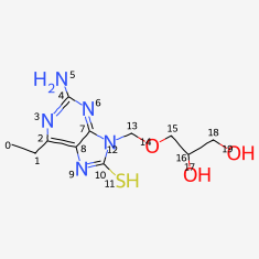 CCc1nc(N)nc2c1nc(S)n2COCC(O)CO